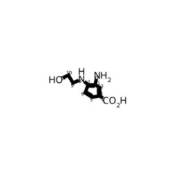 Nc1cc(C(=O)O)ccc1NCCO